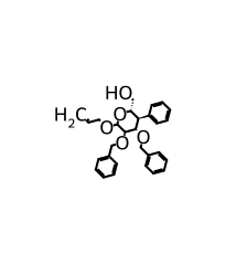 C=CCOC1O[C@H](CO)[C@@H](c2ccccc2)[C@H](OCc2ccccc2)[C@H]1OCc1ccccc1